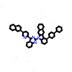 c1ccc(-c2ccc(-c3cccc4c3c3cc5ccccc5cc3n4-c3nc(-c4ccc(-c5ccc6ccccc6c5)cn4)c4ccccc4n3)cc2)cc1